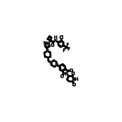 O=C1CCC(N2C(=O)c3ccc(N4CCN(CC5CCN(c6cnn(C7(C(=O)Nc8ccc(C(F)(F)F)cc8Cl)CCC7)c6)CC5)CC4)cc3C2=O)C(=O)N1